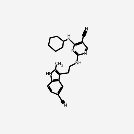 Cc1[nH]c2ccc(C#N)cc2c1CCNc1ncc(C#N)c(NC2CCCCC2)n1